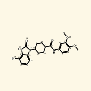 COc1ccc(NC(=O)C2CCC(n3c(=O)[nH]c4c(Br)cccc43)CC2)cc1OC